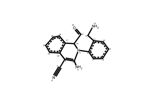 N#CC1=C(N)N(c2ccccc2CN)C(C=O)c2ccccc21